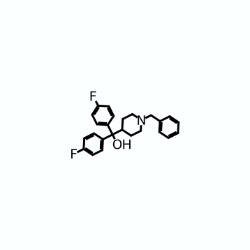 OC(c1ccc(F)cc1)(c1ccc(F)cc1)C1CCN(Cc2ccccc2)CC1